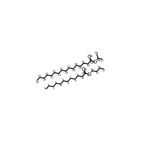 CCCCCCCCCCCC(=O)OCCCC.CCCCCCCCCCCCCCCC(=O)OC(C)C